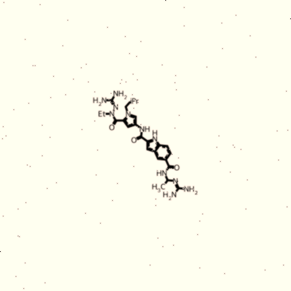 CCN(N=C(N)N)C(=O)c1cc(NC(=O)c2cc3cc(C(=O)NC(C)N=C(N)N)ccc3[nH]2)cn1CC(C)C